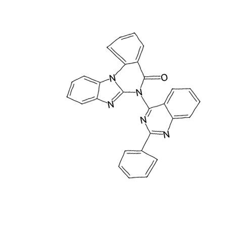 O=c1c2ccccc2n2c3ccccc3nc2n1-c1nc(-c2ccccc2)nc2ccccc12